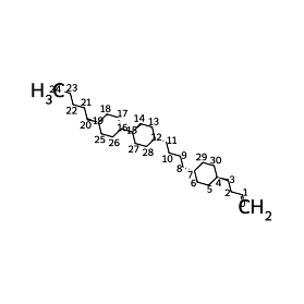 C=CCC[C@H]1CC[C@H](CCCC[C@H]2CC[C@H]([C@H]3CC[C@H](CCCCC)CC3)CC2)CC1